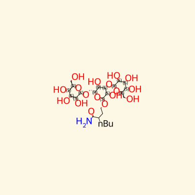 CCCCC(CCO[C@H]1O[C@H](CO[C@H]2O[C@H](CO)[C@@H](O)[C@H](O)[C@@H]2O)[C@@H](O)[C@H](O[C@H]2O[C@H](CO)[C@@H](O)[C@H](O)[C@@H]2O)[C@@H]1O)C(N)=O